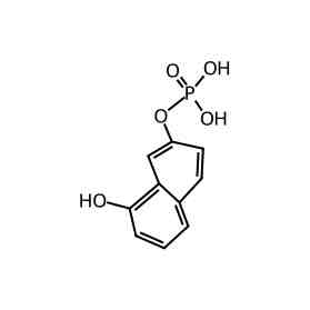 O=P(O)(O)Oc1ccc2cccc(O)c2c1